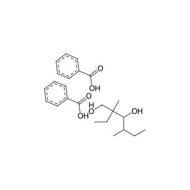 CCC(C)C(O)C(C)(CC)CO.O=C(O)c1ccccc1.O=C(O)c1ccccc1